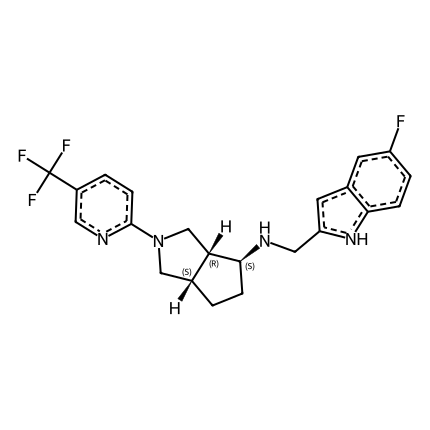 Fc1ccc2[nH]c(CN[C@H]3CC[C@@H]4CN(c5ccc(C(F)(F)F)cn5)C[C@@H]43)cc2c1